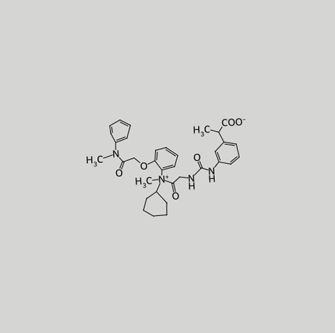 CC(C(=O)[O-])c1cccc(NC(=O)NCC(=O)[N+](C)(c2ccccc2OCC(=O)N(C)c2ccccc2)C2CCCCC2)c1